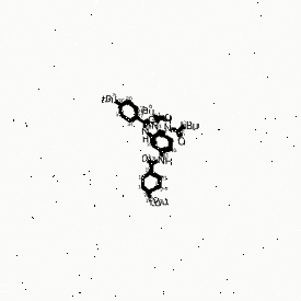 CCC(C)C(=O)NC1(NC(=O)C(C)CC)CC=C(NC(=O)C2CCC(C(C)(C)C)CC2)C=C1NC(=O)C1CCC(C(C)(C)C)CC1